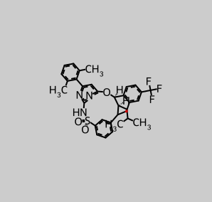 Cc1cccc(C)c1-c1cc2nc(n1)NS(=O)(=O)c1cccc(c1)C1Cc3cc(C(F)(F)F)ccc3[C@H](O2)[C@H]1CC(C)C